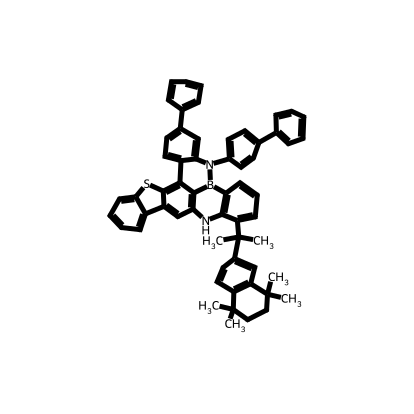 CC1(C)CCC(C)(C)c2cc(C(C)(C)c3cccc4c3Nc3cc5c(sc6ccccc65)c5c3B4N(c3ccc(-c4ccccc4)cc3)c3cc(-c4ccccc4)ccc3-5)ccc21